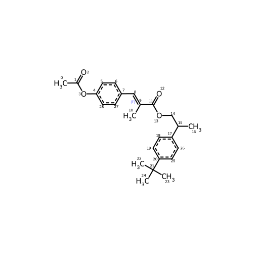 CC(=O)Oc1ccc(/C=C(\C)C(=O)OCC(C)c2ccc(C(C)(C)C)cc2)cc1